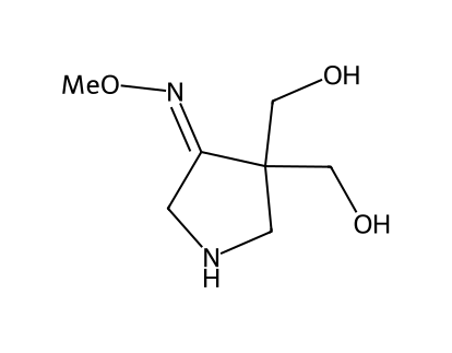 CO/N=C1\CNCC1(CO)CO